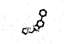 C1=CN(Cc2nc3ccc(-c4ccccc4)cc3s2)NC1